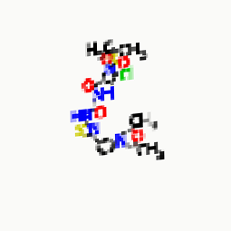 CC(C)S(=O)(=O)n1cc(C(=O)NCC(=O)Nc2nc(-c3cccc(N4C[C@@H](C)O[C@@H](C)C4)c3)cs2)cc1Cl